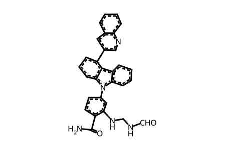 NC(=O)c1ccc(-n2c3ccccc3c3c(-c4cnc5ccccc5c4)cccc32)cc1NCNC=O